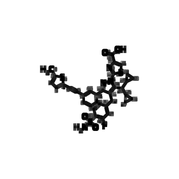 Cc1ccc(C#Cc2cccc(-c3nn(-c4nc(C(=O)O)cs4)c(C(C4CC4)C4CC4)c3Cc3ccc(S(N)(=O)=O)c(F)c3)c2)s1